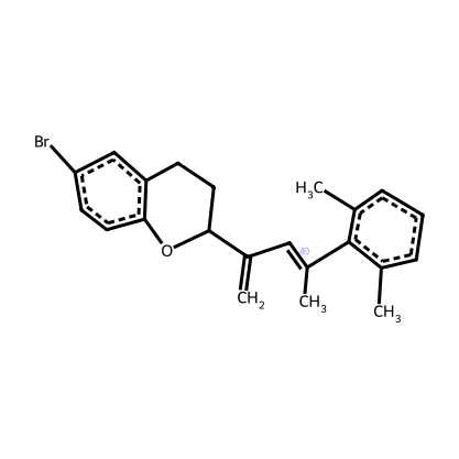 C=C(/C=C(\C)c1c(C)cccc1C)C1CCc2cc(Br)ccc2O1